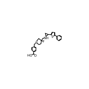 O=C(O)c1ccc(CN2CCC(F)(CNC3CC3c3ccc(-c4ccccc4)s3)CC2)cc1